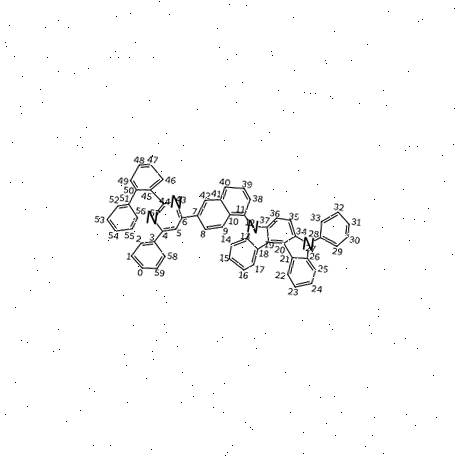 c1ccc(-c2cc(-c3ccc4c(-n5c6ccccc6c6c7c8ccccc8n(-c8ccccc8)c7ccc65)cccc4c3)nc(-c3ccccc3-c3ccccc3)n2)cc1